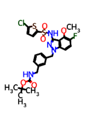 COc1c(F)ccc2c1c(NS(=O)(=O)c1ccc(Cl)s1)nn2Cc1cccc(CNC(=O)OC(C)(C)C)c1